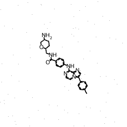 Cc1ccc(-c2cnc3c(Nc4ccc(C(=O)NCC5CCC(N)CO5)cc4)nccn23)cc1